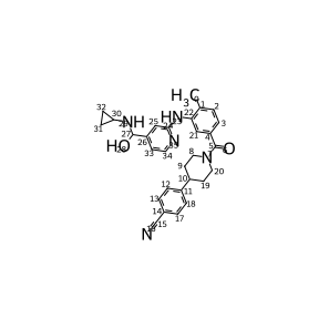 Cc1ccc(C(=O)N2CCC(c3ccc(C#N)cc3)CC2)cc1Nc1cc(C(O)NC2CC2)ccn1